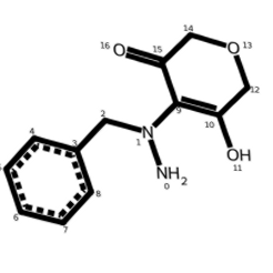 NN(Cc1ccccc1)C1=C(O)COCC1=O